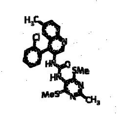 CSc1nc(C)nc(SC)c1NC(=O)Nc1cnc2ccc(C)cc2c1-c1ccccc1Cl